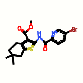 COC(=O)c1c(NC(=O)c2ccc(Br)cn2)sc2c1CCC(C)(C)C2